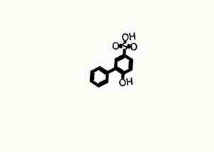 O=S(=O)(O)c1ccc(O)c(-c2ccccc2)c1